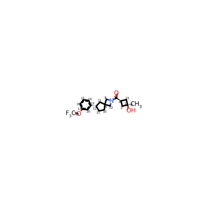 C[C@]1(O)C[C@@H](C(=O)N2CC3(CC[C@H](c4cccc(OC(F)(F)F)c4)C3)C2)C1